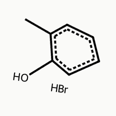 Br.Cc1ccccc1O